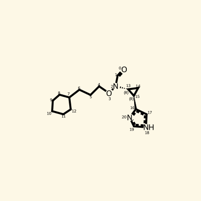 O=CN(OCCCC1CCCCC1)[C@@H]1C[C@H]1c1c[nH]cn1